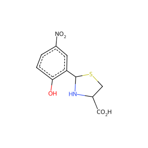 O=C(O)C1CSC(c2cc([N+](=O)[O-])ccc2O)N1